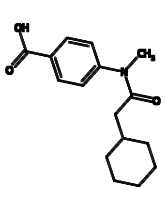 CN(C(=O)CC1CCCCC1)c1ccc(C(=O)O)cc1